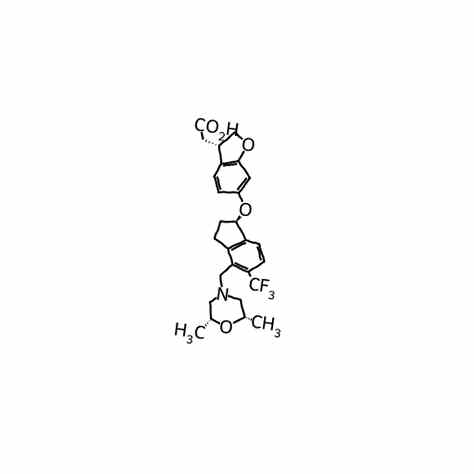 C[C@@H]1CN(Cc2c(C(F)(F)F)ccc3c2CC[C@H]3Oc2ccc3c(c2)OC[C@H]3CC(=O)O)C[C@H](C)O1